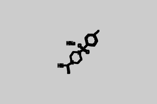 Cc1ccc(S(=O)(=O)N2CCN(C(=S)S)CC2)cc1.[NaH]